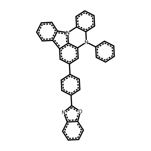 c1ccc(N2c3ccccc3-n3c4ccccc4c4cc(-c5ccc(-c6nc7ccccc7o6)cc5)cc2c43)cc1